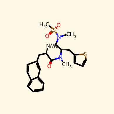 CN[C@H](Cc1ccc2ccccc2c1)C(=O)N(C)[C@H](Cc1cccs1)CN(C)S(C)(=O)=O